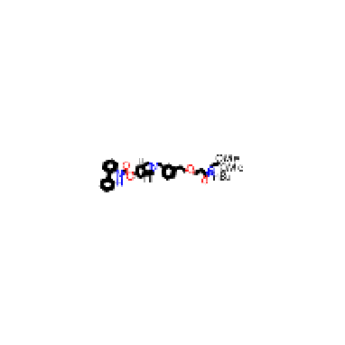 CCCCN(CC(OC)OC)C(=O)CCOCCc1cccc(CN2C[C@H]3C[C@H](OC(=O)Nc4ccccc4-c4ccccc4)C[C@H]3C2)c1